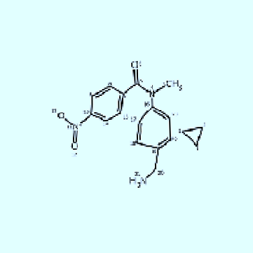 C1CC1.CN(C(=O)c1ccc([N+](=O)[O-])cc1)c1ccc(CN)cc1